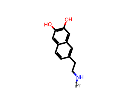 CC(C)NCCc1ccc2cc(O)c(O)cc2c1